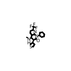 CNc1c(-c2ccsc2)c(=O)n(-c2ccccc2)c2nc(C(F)(F)F)ccc12